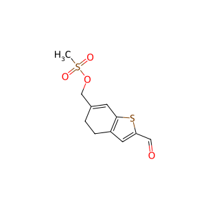 CS(=O)(=O)OCC1=Cc2sc(C=O)cc2CC1